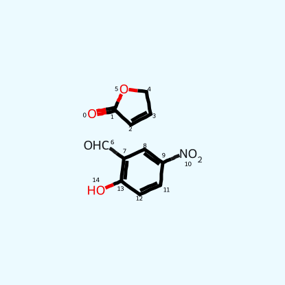 O=C1C=CCO1.O=Cc1cc([N+](=O)[O-])ccc1O